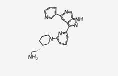 NCC[C@@H]1CCCN(c2cccc(-c3n[nH]c4cnc(-c5cccnc5)cc34)n2)C1